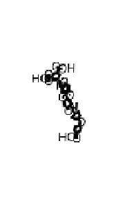 O=C(O)c1ccc(Oc2ccc(-c3nc4cc(S(=O)(=O)c5ccc6oc(-c7cc(C(=O)O)cc(S(=O)(=O)O)c7)nc6c5)ccc4o3)cc2)cc1